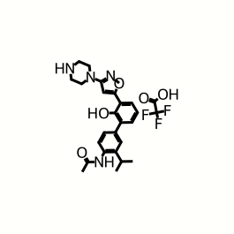 CC(=O)Nc1ccc(-c2cccc(-c3cc(N4CCNCC4)no3)c2O)cc1C(C)C.O=C(O)C(F)(F)F